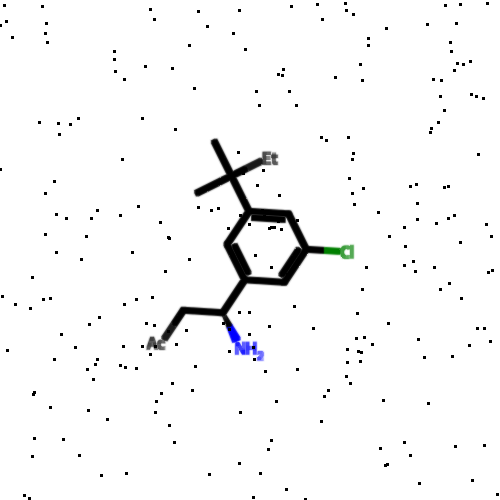 CCC(C)(C)c1cc(Cl)cc([C@@H](N)CC(C)=O)c1